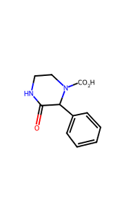 O=C1NCCN(C(=O)O)C1c1ccccc1